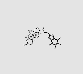 Cc1c(F)c(F)c2nc(CCC(C)[C@H]3CC[C@H]4[C@@H]5[C@@H](O)C[C@@H]6C[C@H](O)CC[C@]6(C)[C@H]5CC[C@]34C)sc2c1F